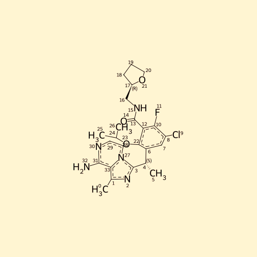 Cc1nc([C@@H](C)c2cc(Cl)c(F)c(C(=O)NC[C@H]3CCCO3)c2OC(C)C)n2ccnc(N)c12